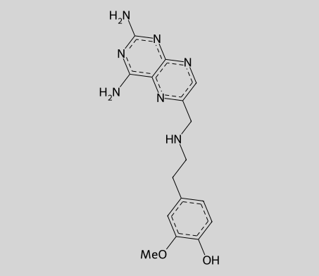 COc1cc(CCNCc2cnc3nc(N)nc(N)c3n2)ccc1O